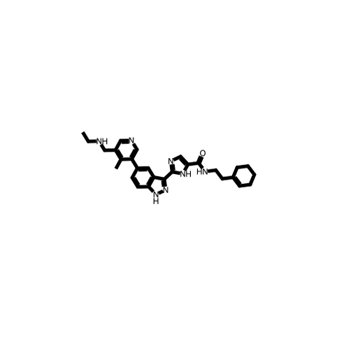 CCNCc1cncc(-c2ccc3[nH]nc(-c4ncc(C(=O)NCCC5=CCCCC5)[nH]4)c3c2)c1C